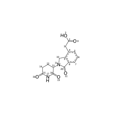 O=C(O)Cc1cccc2c1CN(C1CCC(=O)NC1=O)C2=O